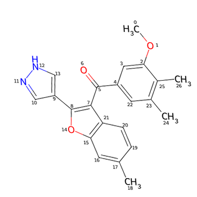 COc1cc(C(=O)c2c(-c3cn[nH]c3)oc3cc(C)ccc23)cc(C)c1C